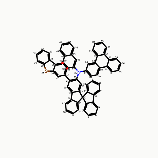 c1ccc2c(c1)-c1ccccc1C21c2ccccc2-c2cc(-c3ccc4c(c3)sc3ccccc34)c(N(c3ccc4ccccc4c3)c3ccc4c5ccccc5c5ccccc5c4c3)cc21